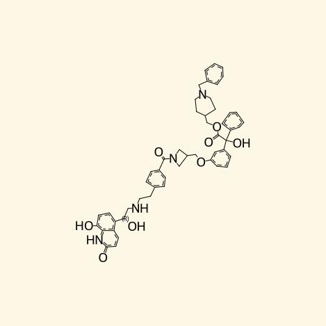 O=C(c1ccc(CCNC[C@H](O)c2ccc(O)c3[nH]c(=O)ccc23)cc1)N1CC(COc2cccc(C(O)(C(=O)OCC3CCN(Cc4ccccc4)CC3)c3ccccc3)c2)C1